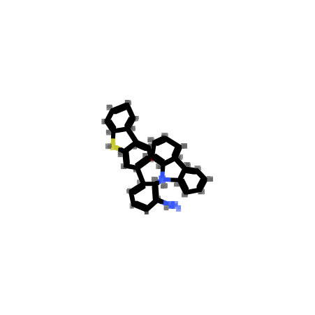 Nc1cccc(-c2ccc3c(c2)sc2ccccc23)c1-n1c2ccccc2c2ccccc21